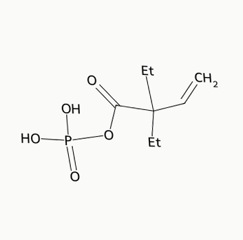 C=CC(CC)(CC)C(=O)OP(=O)(O)O